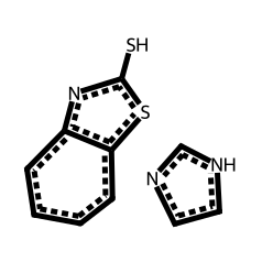 Sc1nc2ccccc2s1.c1c[nH]cn1